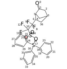 O=C1CC2CC1C(C(F)(F)C(F)(F)S(=O)(=O)OS(c1ccccc1)(c1ccccc1)c1ccccc1)C2